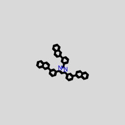 c1cc(-c2ccc3ccccc3c2)cc(-c2cc(-c3cccc(-c4ccc5ccccc5c4)c3)nc(-c3cccc(-c4ccc5ccccc5c4)c3)n2)c1